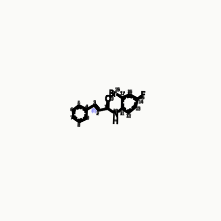 O=C(/C=C/c1ccccc1)Nc1ccc(F)cc1Br